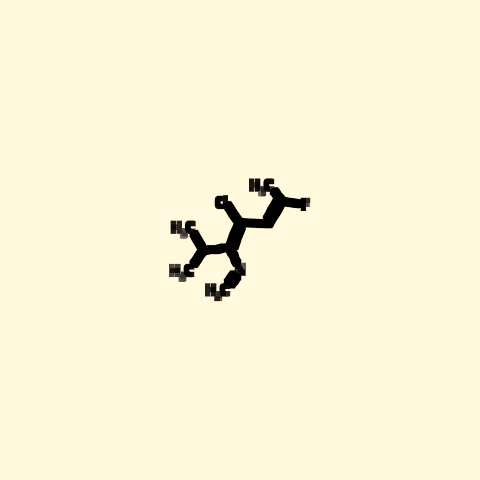 C=N/C(=C(Cl)\C=C(/C)F)C(C)C